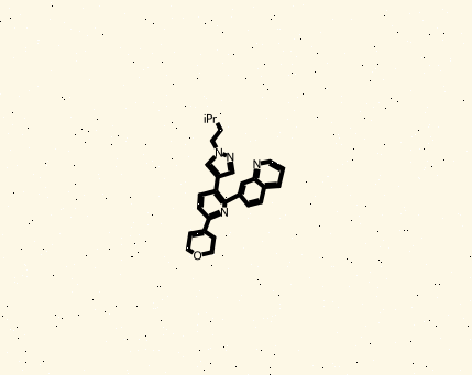 CC(C)CCn1cc(-c2ccc(C3=CCOCC3)nc2-c2ccc3cccnc3c2)cn1